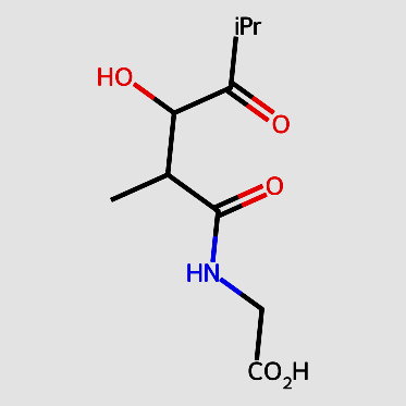 CC(C)C(=O)C(O)C(C)C(=O)NCC(=O)O